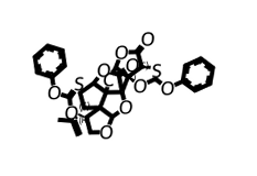 C=C(C)[C@@H]1CC2OC(=O)C34OC5OC[C@H](OC(=S)Oc6ccccc6)C51C23CC1OC(=O)[C@@H](C)[C@@]14OC(=S)Oc1ccccc1